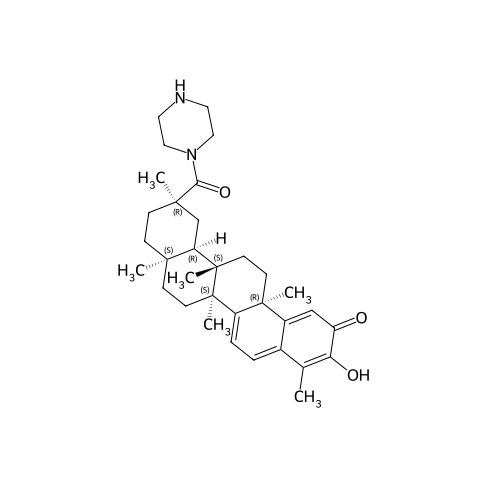 CC1=C(O)C(=O)C=C2C1=CC=C1[C@@]2(C)CC[C@@]2(C)[C@@H]3C[C@](C)(C(=O)N4CCNCC4)CC[C@]3(C)CC[C@]12C